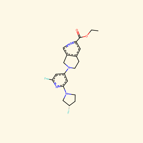 CCOC(=O)c1cc2c(cn1)CN(c1cc(F)nc(N3CC[C@H](F)C3)c1)CC2